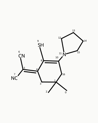 CC1(C)CC(=C(C#N)C#N)C(S)=C(N2CCCC2)C1